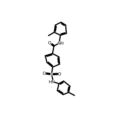 Cc1ccc(NS(=O)(=O)c2ccc(C(=O)Nc3ccccc3C)cc2)cc1